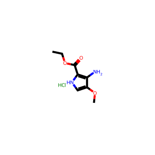 CCOC(=O)c1[nH]cc(OC)c1N.Cl